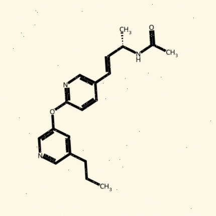 CCCc1cncc(Oc2ccc(/C=C/[C@H](C)NC(C)=O)cn2)c1